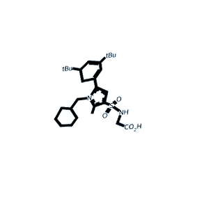 Cc1c(S(=O)(=O)NCC(=O)O)cc(C2=CC(C(C)(C)C)=CC(C(C)(C)C)C2)n1CC1CCCCC1